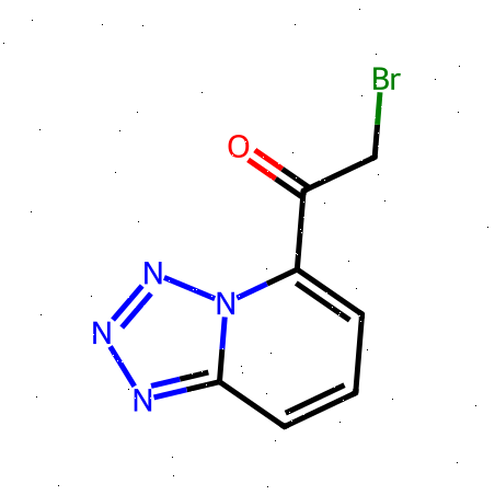 O=C(CBr)c1cccc2nnnn12